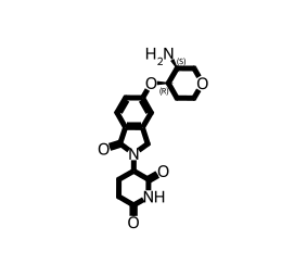 N[C@H]1COCC[C@H]1Oc1ccc2c(c1)CN(C1CCC(=O)NC1=O)C2=O